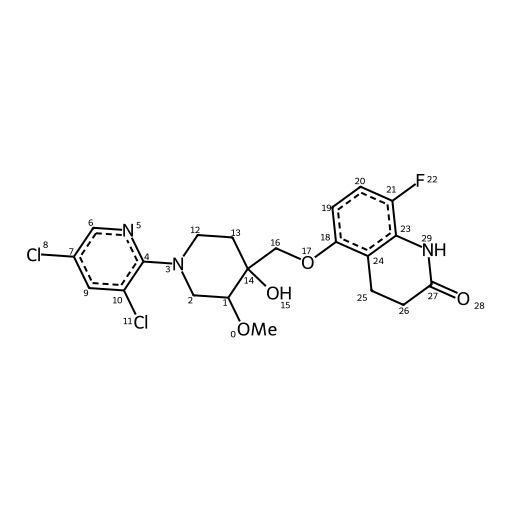 COC1CN(c2ncc(Cl)cc2Cl)CCC1(O)COc1ccc(F)c2c1CCC(=O)N2